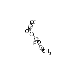 CN1CCC(COc2ccc(C3=CCC(C(=O)N4CC[S+]([O-])CC4)CC3)cc2F)CC1